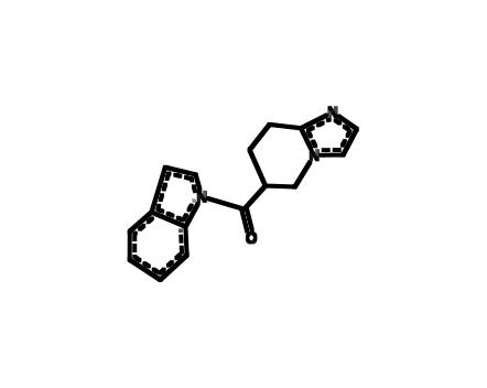 O=C(C1CCc2nccn2C1)n1ccc2ccccc21